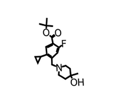 CC1(O)CCN(Cc2cc(F)c(C(=O)OC(C)(C)C)cc2C2CC2)CC1